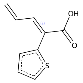 C=C/C=C(/C(=O)O)c1cccs1